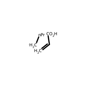 C=CC(=O)O.[CH2]CC[CH2]